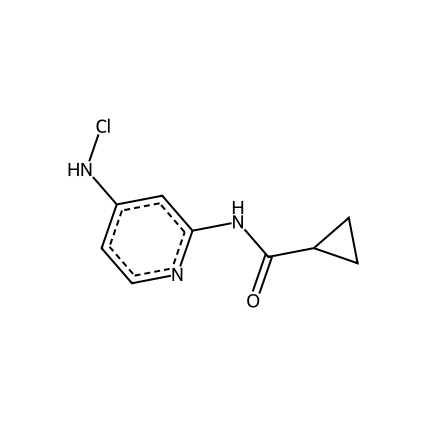 O=C(Nc1cc(NCl)ccn1)C1CC1